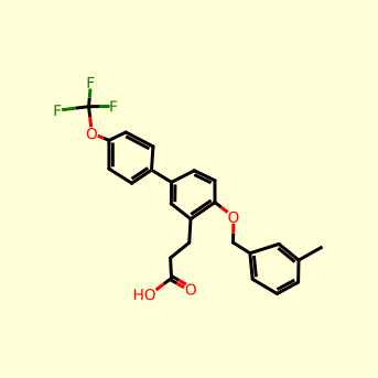 Cc1cccc(COc2ccc(-c3ccc(OC(F)(F)F)cc3)cc2CCC(=O)O)c1